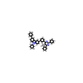 C[Si]1(C)c2ccccc2-c2nc(-c3ccccc3)nc(-c3cccc(-c4ccc5c(c4)c4cc(-c6ccccc6)ccc4n5-c4ccccc4)c3)c21